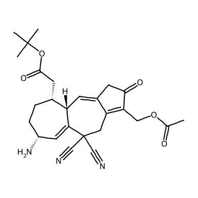 CC(=O)OCC1=C2CC(C#N)(C#N)C3=C[C@H](N)CC[C@H](CC(=O)OC(C)(C)C)[C@@H]3C=C2CC1=O